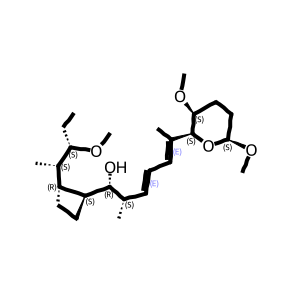 CC[C@H](OC)[C@@H](C)[C@H]1CC[C@@H]1[C@H](O)[C@@H](C)/C=C/C=C(\C)[C@@H]1O[C@H](OC)CC[C@@H]1OC